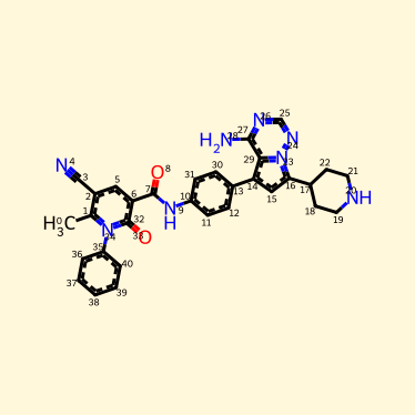 Cc1c(C#N)cc(C(=O)Nc2ccc(-c3cc(C4CCNCC4)n4ncnc(N)c34)cc2)c(=O)n1-c1ccccc1